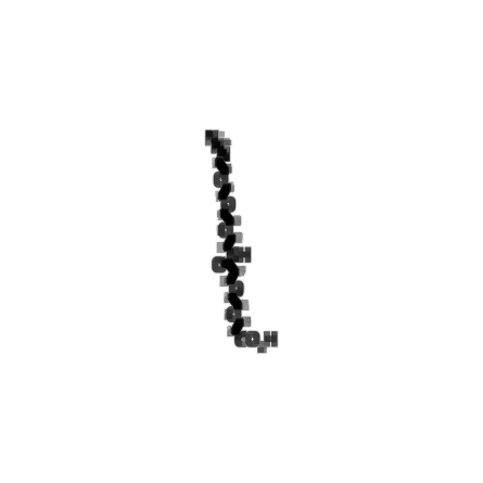 [N-]=[N+]=NCCOCCOCCOCCNC(=O)CCOCCOCCC(=O)O